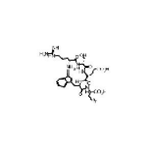 CC(C)C[C@H](NC(=O)[C@@H](Cc1c[nH]c2ccccc12)NC(=O)[C@@H](CCC(=O)O)NC(=O)[C@@H](CO)NC(=O)[C@H](N)CCCNC(=N)N)C(=O)O